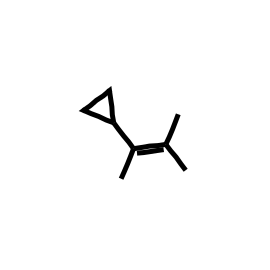 CC(C)=C(C)C1CC1